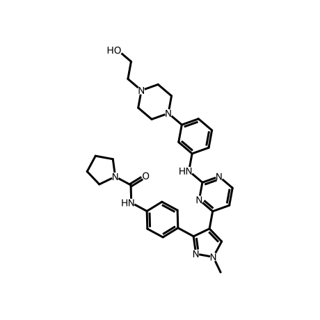 Cn1cc(-c2ccnc(Nc3cccc(N4CCN(CCO)CC4)c3)n2)c(-c2ccc(NC(=O)N3CCCC3)cc2)n1